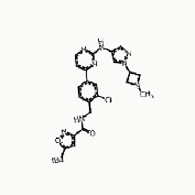 CN1CC(n2cc(Nc3nccc(-c4ccc(CNC(=O)c5cc(C(C)(C)C)on5)c(Cl)c4)n3)cn2)C1